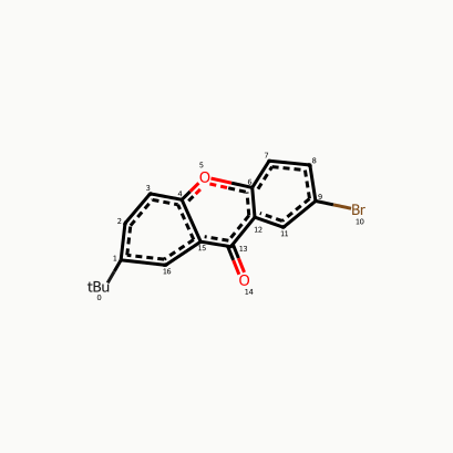 CC(C)(C)c1ccc2oc3ccc(Br)cc3c(=O)c2c1